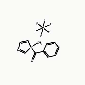 C[N+]1(C(=O)c2ccccc2)C=CN=C1.F[P-](F)(F)(F)(F)F